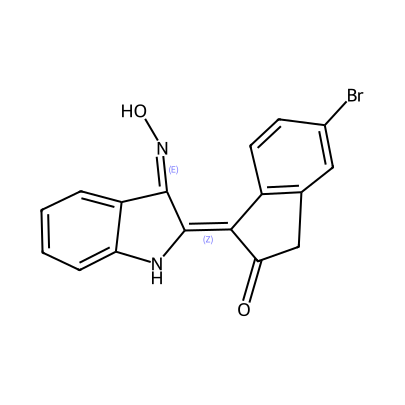 O=C1Cc2cc(Br)ccc2/C1=C1/Nc2ccccc2/C1=N\O